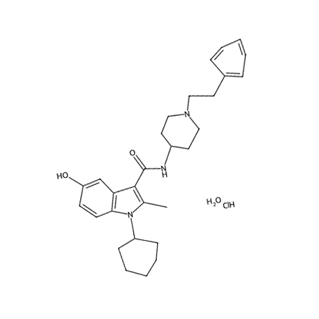 Cc1c(C(=O)NC2CCN(CCc3ccccc3)CC2)c2cc(O)ccc2n1C1CCCCC1.Cl.O